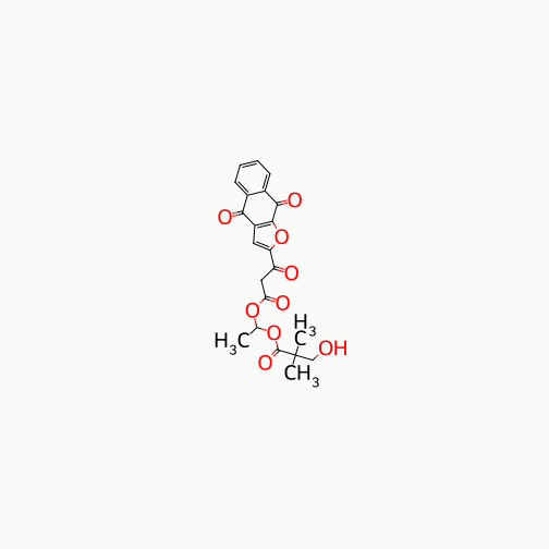 CC(OC(=O)CC(=O)c1cc2c(o1)C(=O)c1ccccc1C2=O)OC(=O)C(C)(C)CO